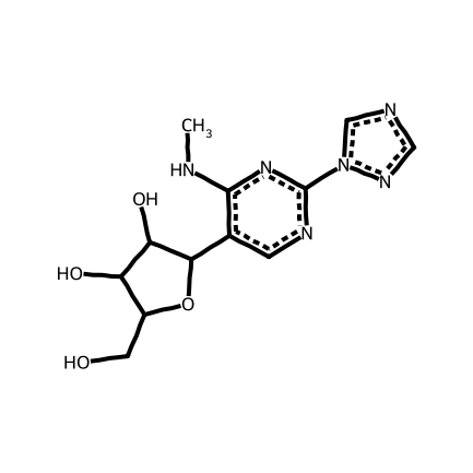 CNc1nc(-n2cncn2)ncc1C1OC(CO)C(O)C1O